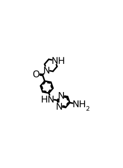 Nc1cnc(Nc2ccc(C(=O)N3CCNCC3)cc2)nc1